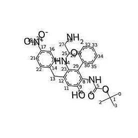 CC(C)(C)OC(=O)Nc1c(O)cc(Cc2ccc([N+](=O)[O-])cc2)c(NC(=O)CN)c1-c1ccccc1